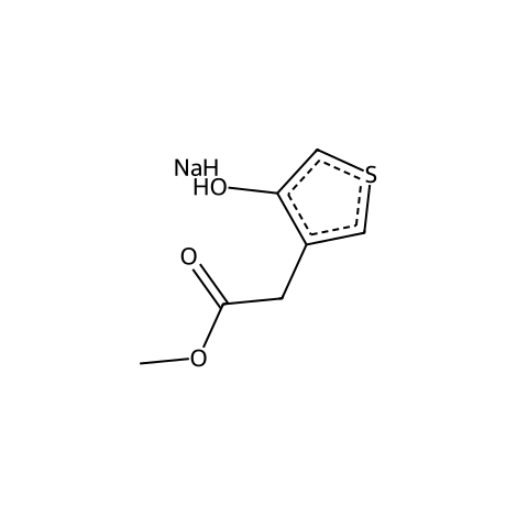 COC(=O)Cc1cscc1O.[NaH]